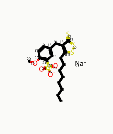 CCCCCCCCc1ssc(=S)c1Cc1ccc(OC)c(S(=O)(=O)[O-])c1.[Na+]